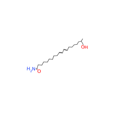 CC(CO)CCCCCC=CC=CCCCCCCCCC(N)=O